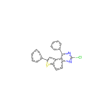 Clc1nc(-c2ccccc2)c2c(ccc3sc(-c4ccccc4)cc32)n1